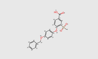 CS(=O)(=O)c1cc(C(=O)O)ccc1Oc1ccc(OCc2ccccc2)cc1